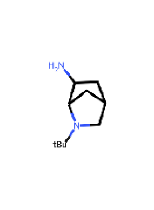 CC(C)(C)N1CC2CC(N)C1C2